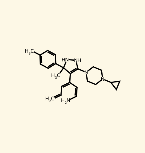 C=C/C=C(\C=C/N)C1=C(N2CCN(C3CC3)CC2)NNC1(C)c1ccc(C)cc1